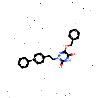 O=c1[nH]c(=O)n(CCc2ccc(-c3ccccc3)cc2)nc1OCc1ccccc1